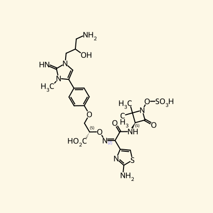 Cn1c(-c2ccc(OC[C@H](O/N=C(\C(=O)N[C@@H]3C(=O)N(OS(=O)(=O)O)C3(C)C)c3csc(N)n3)C(=O)O)cc2)cn(CC(O)CN)c1=N